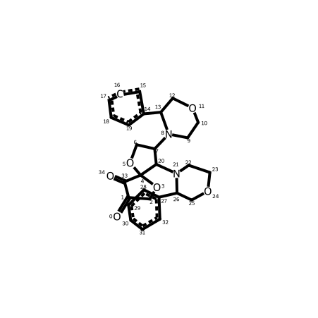 O=C1COC2(OCC(N3CCOCC3c3ccccc3)C2N2CCOCC2c2ccccc2)C1=O